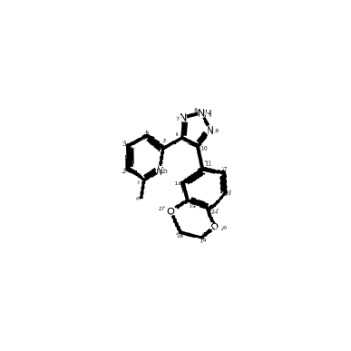 Cc1cccc(-c2n[nH]nc2-c2ccc3c(c2)OCCO3)n1